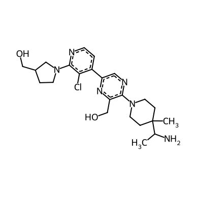 CC(N)C1(C)CCN(c2ncc(-c3ccnc(N4CCC(CO)C4)c3Cl)nc2CO)CC1